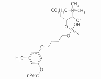 CCCCCOc1cc(C)cc(OCCCCOP(O)(=S)O[C@H](CC(=O)O)C([O-])[N+](C)(C)C)c1